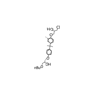 CCCCOCC(O)COc1ccc(C(C)(C)c2ccc(OCC(O)CCl)c(C)c2)cc1